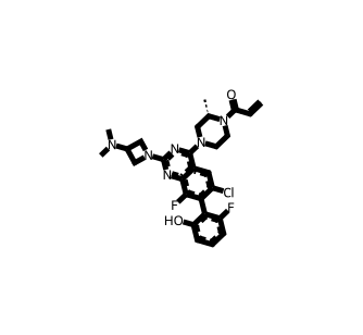 C=CC(=O)N1CCN(c2nc(N3CC(N(C)C)C3)nc3c(F)c(-c4c(O)cccc4F)c(Cl)cc23)C[C@@H]1C